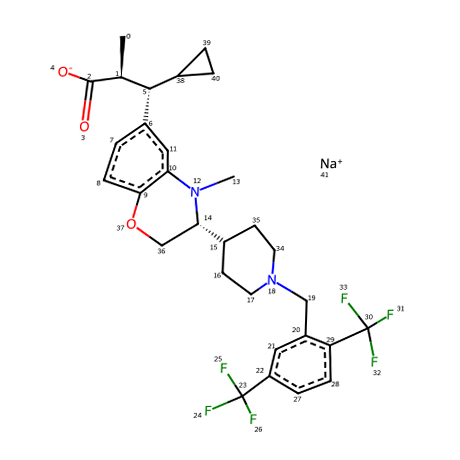 C[C@H](C(=O)[O-])[C@@H](c1ccc2c(c1)N(C)[C@H](C1CCN(Cc3cc(C(F)(F)F)ccc3C(F)(F)F)CC1)CO2)C1CC1.[Na+]